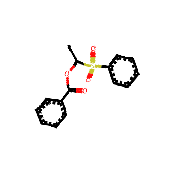 CC(OC(=O)c1ccccc1)S(=O)(=O)c1ccccc1